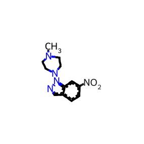 CN1CCN(n2ncc3ccc([N+](=O)[O-])cc32)CC1